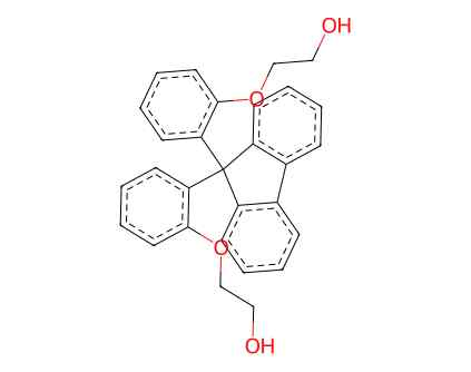 OCCOc1ccccc1C1(c2ccccc2OCCO)c2ccccc2-c2ccccc21